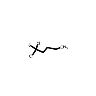 CCCCC([S])(Cl)Cl